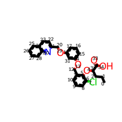 CCCC(Oc1c(Cl)cccc1COc1cccc(OCc2ccc3ccccc3n2)c1)C(=O)O